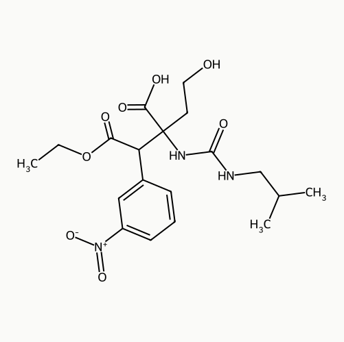 CCOC(=O)C(c1cccc([N+](=O)[O-])c1)C(CCO)(NC(=O)NCC(C)C)C(=O)O